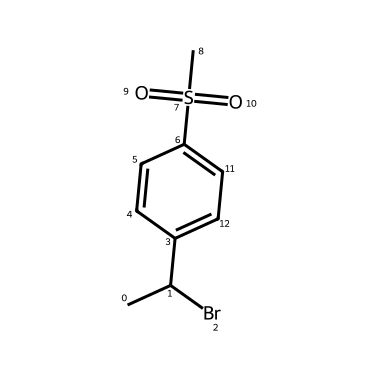 CC(Br)c1ccc(S(C)(=O)=O)cc1